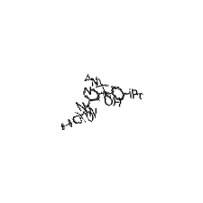 CC(C)c1ccc([C@](O)(c2cncc(-c3noc(C(C)(C)O)n3)c2)C2(C)CN(C3CC3)C2)cc1